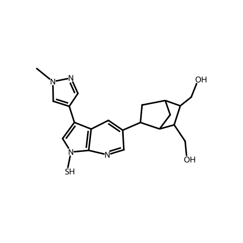 Cn1cc(-c2cn(S)c3ncc(C4CC5CC4C(CO)C5CO)cc23)cn1